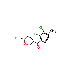 Cc1ccc(C(=O)[C@@H]2CCC(C)OC2)c(F)c1Cl